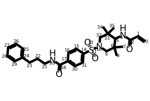 C=CC(=O)NC1C(C)(C)CN(S(=O)(=O)c2ccc(C(=O)NCCCc3ccccc3)cc2)CC1(C)C